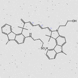 C=C(/C=C/C=C/C=C1/N(CCCO)c2ccc3c(c2C1(C)C)c1ccccc1n3C)C(C)(C)c1c(NCCCS(=O)(=O)O)ccc2c1c1ccccc1n2C